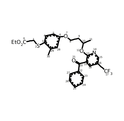 CCOC(=O)CSc1ccc(OCCC(C)Oc2ncc(C(F)(F)F)cc2C(=O)c2ccccc2)cc1C